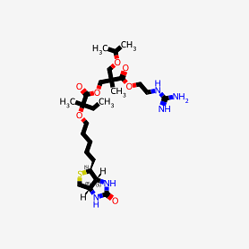 CCC(C)(OCCCCC[C@@H]1SC[C@@H]2NC(=O)N[C@@H]21)C(=O)OCC(C)(COC(C)C)C(=O)OCCNC(=N)N